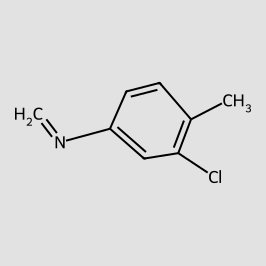 C=Nc1ccc(C)c(Cl)c1